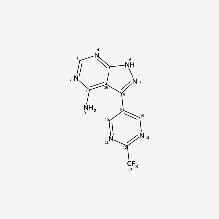 Nc1ncnc2[nH]nc(-c3cnc(C(F)(F)F)nc3)c12